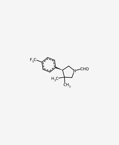 CC1(C)CN(C=O)C[C@@H]1c1ccc(C(F)(F)F)cc1